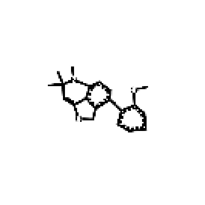 COc1ccccc1-c1ccc2c3c1COC3=CC(C)(C)N2C